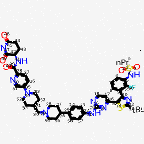 CCCS(=O)(=O)Nc1cccc(-c2nc(C(C)(C)C)sc2-c2ccnc(Nc3ccc(C4CCN(CC5CCN(c6ccc(C(=O)N[C@@H]7CCC(=O)NC7=O)nc6)CC5)CC4)cc3)n2)c1F